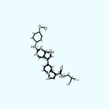 CCO[C@H]1CC[C@@H](Nc2ncc3c(-c4ccn5ncc(C(=O)NCC(F)F)c5c4)c[nH]c3n2)CC1